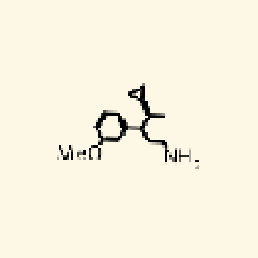 COc1cccc(C(CCN)C(C)=C2CC2)c1